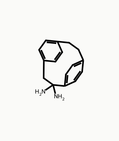 NC1(N)Cc2ccc(cc2)CCc2ccc1cc2